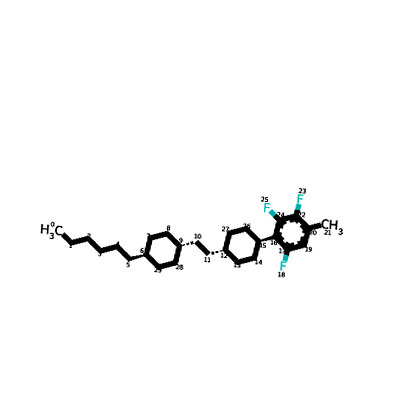 CCCCCC[C@H]1CC[C@H](CC[C@H]2CC[C@H](c3c(F)cc(C)c(F)c3F)CC2)CC1